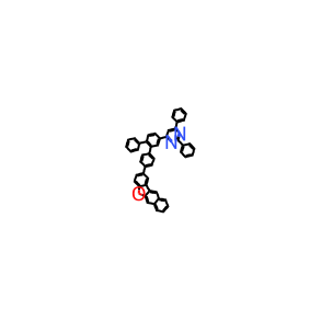 c1ccc(-c2cc(-c3ccc(-c4ccccc4)c(-c4ccc(-c5ccc6oc7cc8ccccc8cc7c6c5)cc4)c3)nc(-c3ccccc3)n2)cc1